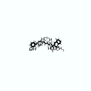 CC1(C)Sc2ccccc2C=C1C(=O)NCCCCN1CCN(c2cccc(O)c2)CC1.Cl